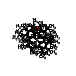 CC1=C(C)C(C)C([Si](c2c(C)c([Si](C)(C)C)c([Si](C)(C)C)c([Si](C)(C)C)c2[Si](C)(C)C)(c2c(C)c([Si](C)(C)C)c([Si](C)(C)C)c([Si](C)(C)C)c2[Si](C)(C)C)c2c(C)c([Si](C)(C)C)c([Si](C)(C)C)c([Si](C)(C)C)c2[Si](C)(C)C)=C1C